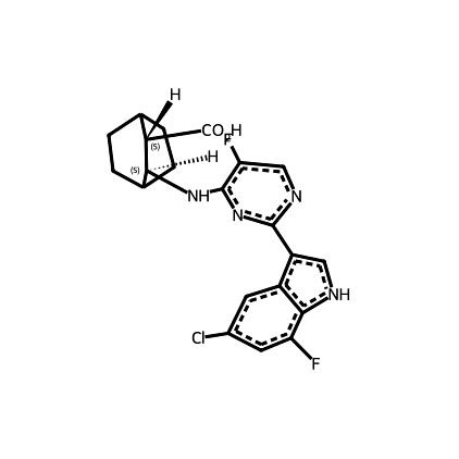 O=C(O)[C@H]1C2CCC(CC2)[C@@H]1Nc1nc(-c2c[nH]c3c(F)cc(Cl)cc23)ncc1F